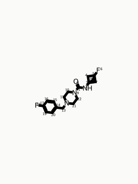 O=C(NC12CC(F)(C1)C2)N1CCN(Cc2ccc(F)cc2)CC1